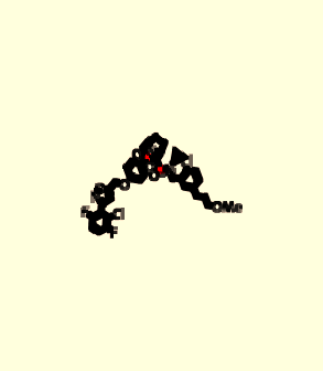 COCCCc1ccc(Cl)c(CN(C(=O)C2C(c3ccc(OCc4cc(-c5c(F)ccc(F)c5Cl)no4)cc3)CC3CCC2N3C(=O)OC(C)(C)C)C2CC2)c1